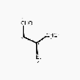 CCC([C]=O)CC=O